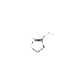 O=CC1=NSCC1